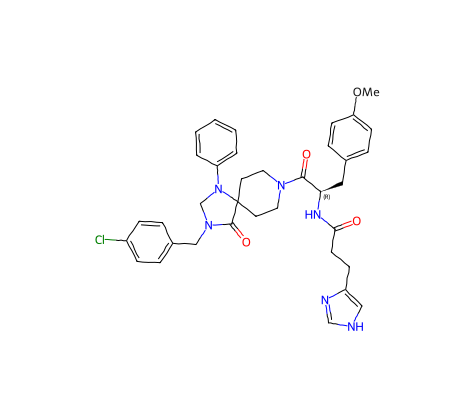 COc1ccc(C[C@@H](NC(=O)CCc2c[nH]cn2)C(=O)N2CCC3(CC2)C(=O)N(Cc2ccc(Cl)cc2)CN3c2ccccc2)cc1